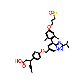 CC#C[C@@H](CC(=O)O)c1ccc(OCc2cc(-c3c(C)cc(OCCC[S+](C)[O-])cc3C)c3nc(C(C)C)nn3c2)cc1